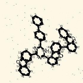 c1ccc(-c2ccc(C3N=C(c4ccc5oc6ccccc6c5c4)N=C(c4cccc5oc6c(-c7cccc8oc9ccccc9c78)cccc6c45)N3)cc2)cc1